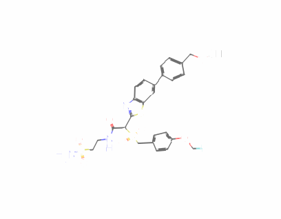 COCc1ccc(-c2ccc3nc(C(C(=O)NCCS(N)(=O)=O)S(=O)(=O)Cc4ccc(OCF)cc4)sc3c2)cc1